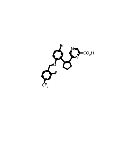 O=C(O)c1cncc(C2=C(c3cc(Br)ccc3OCc3ccc(C(F)(F)F)cc3F)CCC2)n1